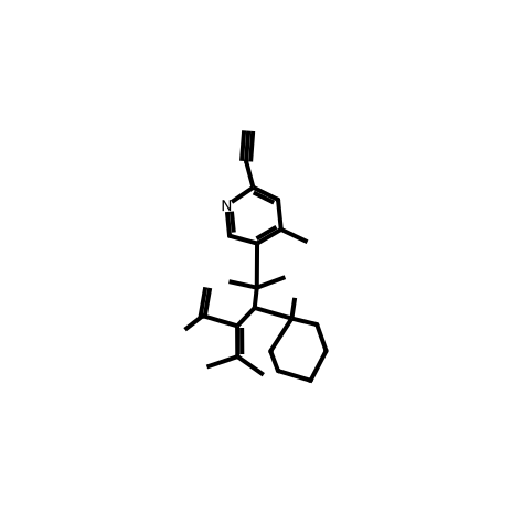 C#Cc1cc(C)c(C(C)(C)C(C(C(=C)C)=C(C)C)C2(C)CCCCC2)cn1